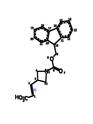 O=C(O)/C=C/C1CN(C(=O)OCC2c3ccccc3-c3ccccc32)C1